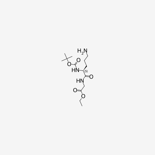 CCOC(=O)CNC(=O)[C@H](CCCN)NC(=O)OC(C)(C)C